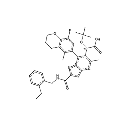 CCc1ccccc1CNC(=O)c1cc2nc(C)c([C@H](OC(C)(C)C)C(=O)O)c(-c3cc(F)c4c(c3C)CCCO4)n2n1